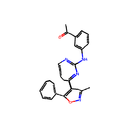 CC(=O)c1cccc(Nc2nccc(-c3c(C)noc3-c3ccccc3)n2)c1